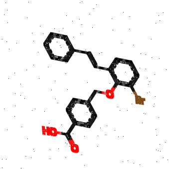 O=C(O)c1ccc(COc2c(Br)cccc2C=Cc2ccccc2)cc1